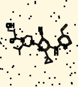 C=Cc1ccnc(Nc2cc(C#N)c(N3CCN(C(=O)CCO)[C@H](C(C)C)C3)nc2C2CC2)c1